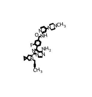 CC#CCN1CC2(CC2)C[C@H]1c1nc(-c2ccc(C(=O)Nc3cc(N4CCN(C)CC4)ccn3)cc2F)c2c(N)nccn12